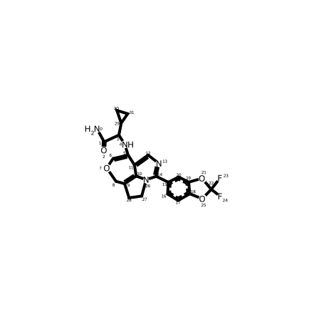 NC(=O)C(NC1=COCC2=C3C1=CN=C(c1ccc4c(c1)OC(F)(F)O4)N3CC2)C1CC1